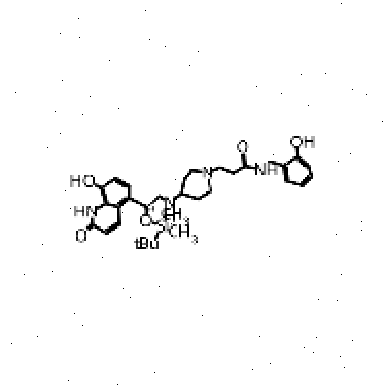 CC(C)(C)[Si](C)(C)O[C@H](CNC1CCN(CCC(=O)NCc2ccccc2O)CC1)c1ccc(O)c2[nH]c(=O)ccc12